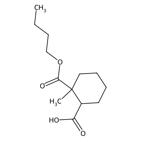 CCCCOC(=O)C1(C)CCCCC1C(=O)O